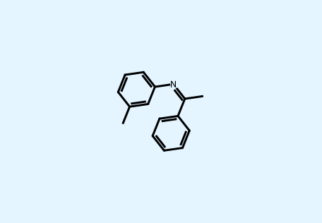 CC(=Nc1cccc(C)c1)c1ccccc1